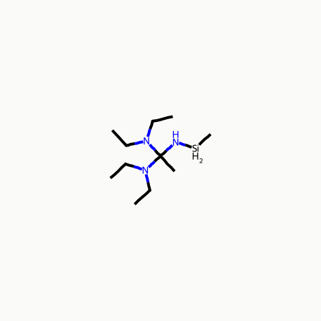 CCN(CC)C(C)(N[SiH2]C)N(CC)CC